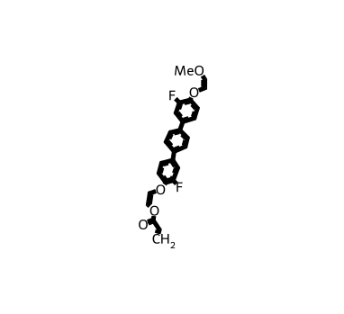 C=CC(=O)O/C=C\Oc1ccc(-c2ccc(-c3ccc(O/C=C\OC)c(F)c3)cc2)cc1F